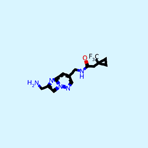 NCc1cn2ncc(CNC(=O)CC3(C(F)(F)F)CC3)cc2n1